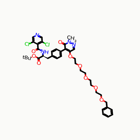 Cn1ncc(OCCOCCOCCOCCOCc2ccccc2)c(-c2ccc(C[C@H](NC(=O)c3c(Cl)cncc3Cl)C(=O)OC(C)(C)C)cc2)c1=O